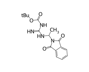 CC(NC(=N)NC(=O)OC(C)(C)C)N1C(=O)c2ccccc2C1=O